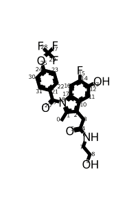 Cc1c(CC(=O)NCCO)c2cc(O)c(F)cc2n1C(=O)c1ccc(OC(F)(F)F)cc1